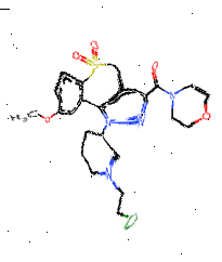 COc1ccc2c(c1)-c1c(c(C(=O)N3CCOCC3)nn1C1CCCN(CCCl)C1)CS2(=O)=O